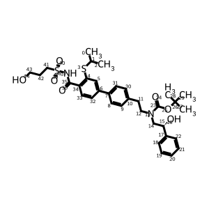 CC(C)Sc1cc(-c2ccc(CCN(C[C@H](O)c3ccccc3)C(=O)OC(C)(C)C)cc2)ccc1C(=O)NS(=O)(=O)CCCO